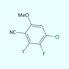 COc1cc(Cl)c(F)c(I)c1C#N